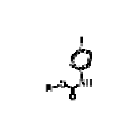 CC(C)OC(=O)Nc1ccc(I)cc1